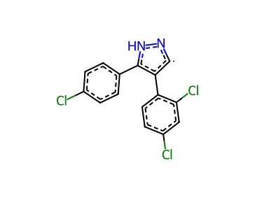 Clc1ccc(-c2[nH]n[c]c2-c2ccc(Cl)cc2Cl)cc1